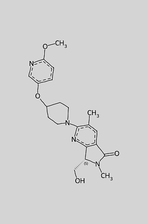 COc1ccc(OC2CCN(c3nc4c(cc3C)C(=O)N(C)[C@@H]4CO)CC2)cn1